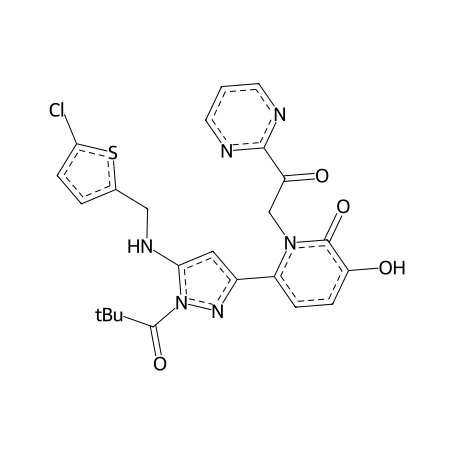 CC(C)(C)C(=O)n1nc(-c2ccc(O)c(=O)n2CC(=O)c2ncccn2)cc1NCc1ccc(Cl)s1